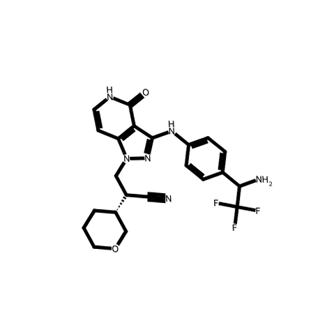 N#CC(Cn1nc(Nc2ccc(C(N)C(F)(F)F)cc2)c2c(=O)[nH]ccc21)[C@H]1CCCOC1